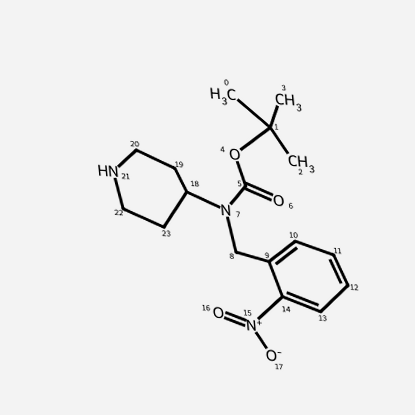 CC(C)(C)OC(=O)N(Cc1ccccc1[N+](=O)[O-])C1CCNCC1